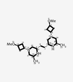 CO[C@H]1C[C@H](N2C[C@@H](CC[C@H]3CN([C@H]4C[C@H](OC)C4)C[C@H](C)N3)N[C@H](C)C2)C1